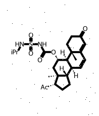 CC(=O)[C@H]1CC[C@H]2[C@@H]3C=CC4=CC(=O)CC[C@@]4(C)[C@@H]3[C@@H](OC(=O)NS(=O)(=O)NC(C)C)C[C@]12C